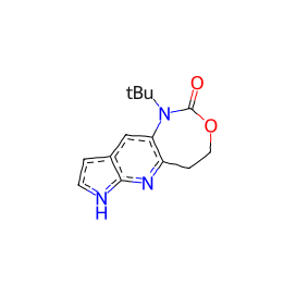 CC(C)(C)N1C(=O)OCCc2nc3[nH]ccc3cc21